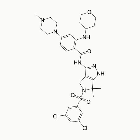 CN1CCN(c2ccc(C(=O)Nc3n[nH]c4c3CN(S(=O)(=O)c3cc(Cl)cc(Cl)c3)C4(C)C)c(NC3CCOCC3)c2)CC1